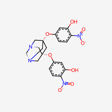 O=[N+]([O-])c1ccc(O[C@]23C[N@@]4C[N@](C[C@@](Oc5ccc([N+](=O)[O-])c(O)c5)(C4)C2)C3)cc1O